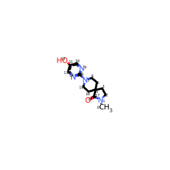 CN1CCC2(CCN(c3ncc(O)cn3)CC2)C1=O